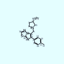 CCCC1CCN(Cc2c(-c3ccc(C)cc3)nc3scnn23)C1